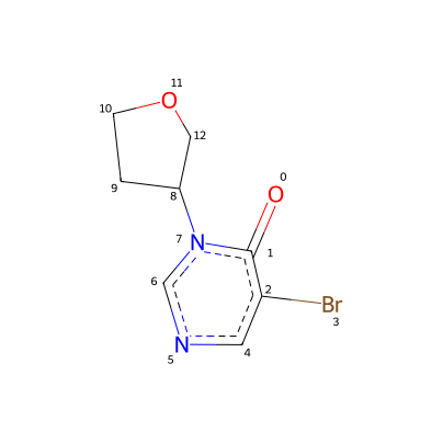 O=c1c(Br)cncn1C1CCOC1